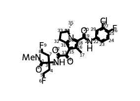 CNC(=O)C(CCF)(CCF)NC(=O)C(=O)c1c(C)c(C(=O)Nc2ccc(F)c(Cl)c2)n2c1CC[C@@H]2C